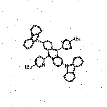 CC(C)(C)c1ccc(-c2c3ccc(-n4c5ccccc5c5ccccc54)cc3c(-c3ccc(C(C)(C)C)cn3)c3ccc(-n4c5ccccc5c5ccccc54)cc23)nc1